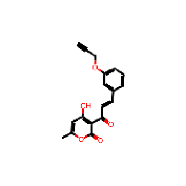 C#CCOc1cccc(/C=C/C(=O)c2c(O)cc(C)oc2=O)c1